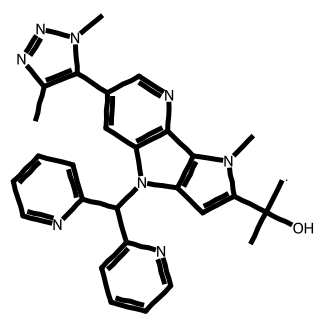 [CH2]C(C)(O)c1cc2c(c3ncc(-c4c(C)nnn4C)cc3n2C(c2ccccn2)c2ccccn2)n1C